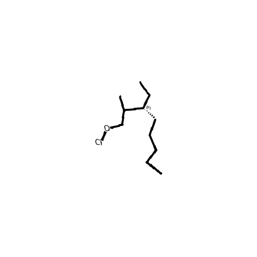 CCCCC[C@@H](CC)C(C)COCl